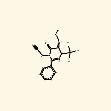 C#CCN1C(=O)C(=NOC)C(C(F)(F)F)N=C1c1ccccc1